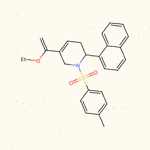 C=C(OCC)C1=CCC(c2cccc3ccccc23)N(S(=O)(=O)c2ccc(C)cc2)C1